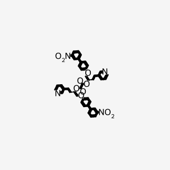 O=C(O[C@H](CCc1cccnc1)COc1ccc(-c2cccc([N+](=O)[O-])c2)cc1)C(=O)O[C@H](CCc1cccnc1)COc1ccc(-c2cccc([N+](=O)[O-])c2)cc1